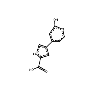 O=C(O)c1cc(-c2ccnc(O)c2)c[nH]1